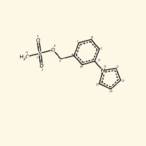 CS(=O)(=O)OCc1cccc(-n2cccc2)c1